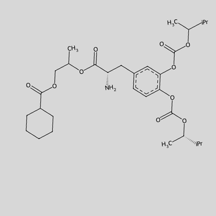 CC(COC(=O)C1CCCCC1)OC(=O)[C@@H](N)Cc1ccc(OC(=O)O[C@@H](C)C(C)C)c(OC(=O)OC(C)C(C)C)c1